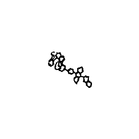 C1=C(c2ccc(-c3c4ccccc4c(-c4ccc5ccccc5c4)c4ccccc34)cc2)CC2C(=C1)Oc1c2ccc2ccc3sc4ccccc4c3c12